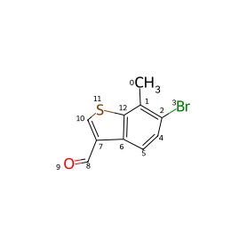 Cc1c(Br)ccc2c(C=O)csc12